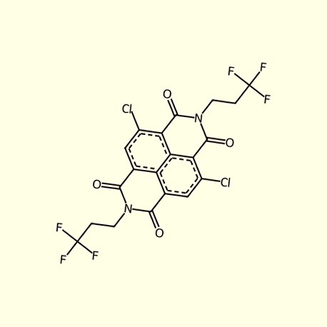 O=C1c2cc(Cl)c3c4c(c(Cl)cc(c24)C(=O)N1CCC(F)(F)F)C(=O)N(CCC(F)(F)F)C3=O